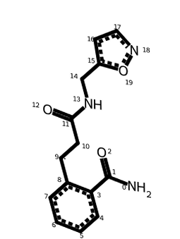 NC(=O)c1ccccc1[CH]CC(=O)NCc1ccno1